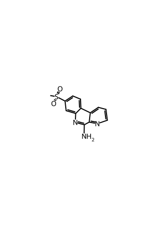 CS(=O)(=O)c1ccc2c(c1)nc(N)c1ncccc12